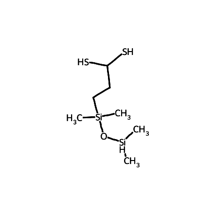 C[SiH](C)O[Si](C)(C)CCC(S)S